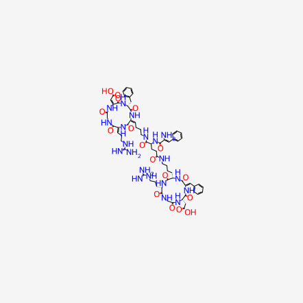 N=C(N)NCC/C=C1\NC(=O)/C(=C\CCCNC(=O)C(CCC(=O)NCCCC[C@@H]2NC(=O)/C(=C/c3ccccc3)NC(=O)[C@H](CC(=O)O)NC(=O)CNC(=O)[C@H](CCCNC(=N)N)NC2=O)NC(=O)/C(N)=C/c2ccccc2)NC(=O)[C@@H](Cc2ccccc2)NC(=O)/C(=C\C(=O)O)NC(=O)CNC1=O